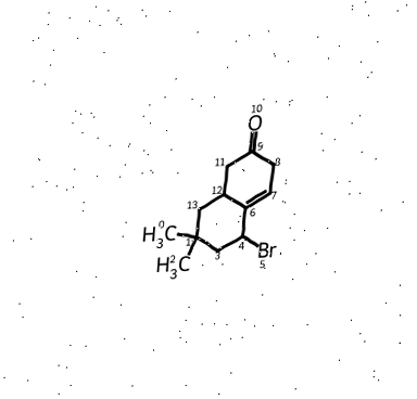 CC1(C)CC(Br)C2=CCC(=O)CC2C1